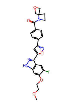 COCCOc1cc2[nH]nc(-c3cc(-c4ccc(C(=O)N5CCC56COC6)cc4)no3)c2cc1F